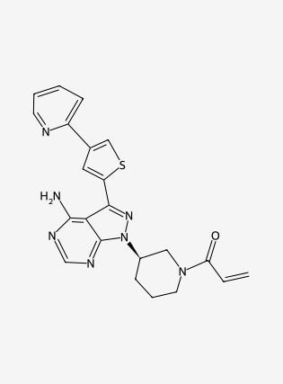 C=CC(=O)N1CCC[C@@H](n2nc(-c3cc(-c4ccccn4)cs3)c3c(N)ncnc32)C1